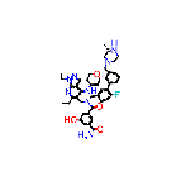 CCc1nc2c(cnn2CC)c(NC2CCOCC2)c1CN(Cc1ccc(F)c(-c2cccc(CN3CCN[C@@H](C)C3)c2)c1)C(=O)c1cc(O)cc(C(N)=O)c1